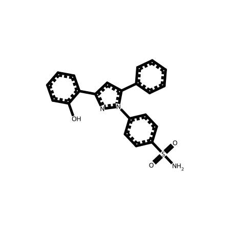 NS(=O)(=O)c1ccc(-n2nc(-c3ccccc3O)cc2-c2ccccc2)cc1